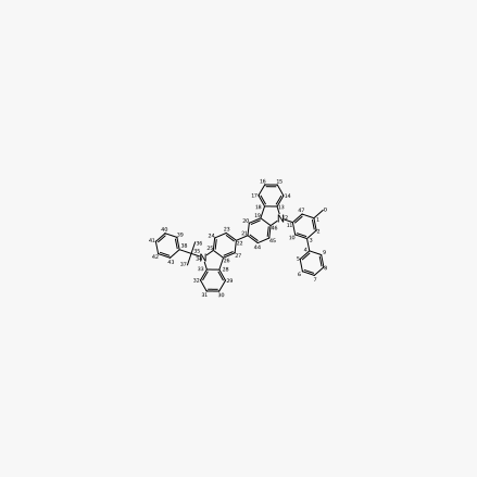 Cc1cc(-c2ccccc2)cc(-n2c3ccccc3c3cc(-c4ccc5c(c4)c4ccccc4n5C(C)(C)c4ccccc4)ccc32)c1